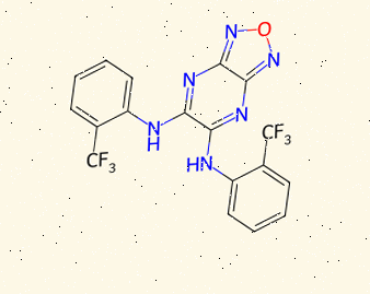 FC(F)(F)c1ccccc1Nc1nc2nonc2nc1Nc1ccccc1C(F)(F)F